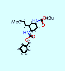 COCCC1CC(NC(=O)OC(C)(C)C)CC[C@H]1NC(=O)OCc1ccccc1